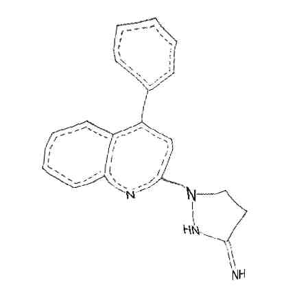 N=C1CCN(c2cc(-c3ccccc3)c3ccccc3n2)N1